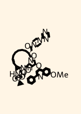 COc1ccc2c(O[C@@H]3C[C@H]4C(=O)N[C@]5(C(=O)NS(=O)(=O)C6CC6)CC5/C=C\CCCCC[C@H](CC(=O)N5CCN(c6cnccn6)CC5)C(=O)N4C3)cc(-c3ccccc3)nc2c1